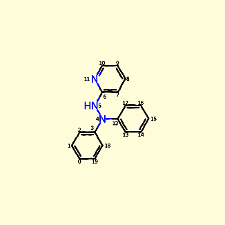 c1ccc(N(Nc2ccccn2)c2ccccc2)cc1